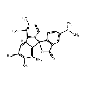 Cc1ccc(C2(c3ccc(C)c(C)c3N)OC(=O)c3cc(N(C)C)ccc32)c(N)c1C